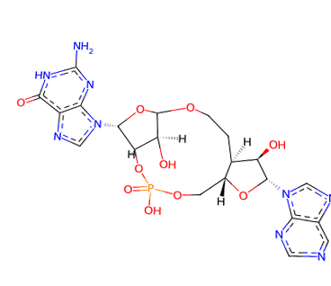 Nc1nc2c(ncn2[C@@H]2OC3OCC[C@H]4[C@@H](O)[C@H](n5cnc6cncnc65)O[C@@H]4COP(=O)(O)O[C@@H]2[C@@H]3O)c(=O)[nH]1